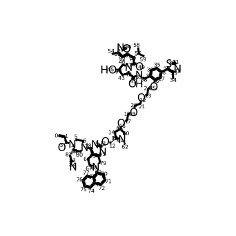 C=CC(=O)N1CCN(c2nc(OC[C@@H]3C[C@@H](OCCOCCOCCOc4cc(-c5scnc5C)ccc4CNC(=O)C4C[C@@H](O)CN4C(=O)[C@H](c4cc(C)no4)C(C)C)CN3C)nc3c2CCN(c2cccc4ccccc24)C3)C[C@@H]1CC#N